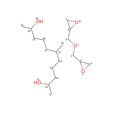 C(OCC1CO1)C1CO1.CC(O)CCCC(C)CCCC(C)O